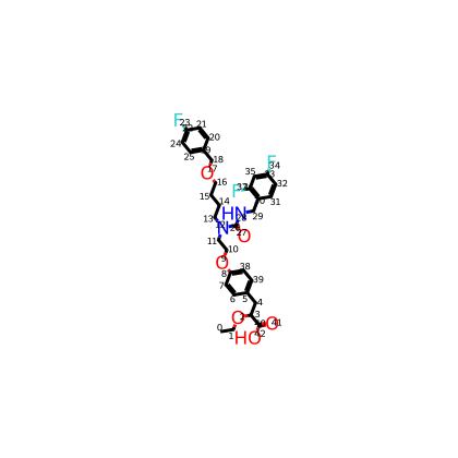 CCOC(Cc1ccc(OCCN(CCCCOCc2ccc(F)cc2)C(=O)NCc2ccc(F)cc2F)cc1)C(=O)O